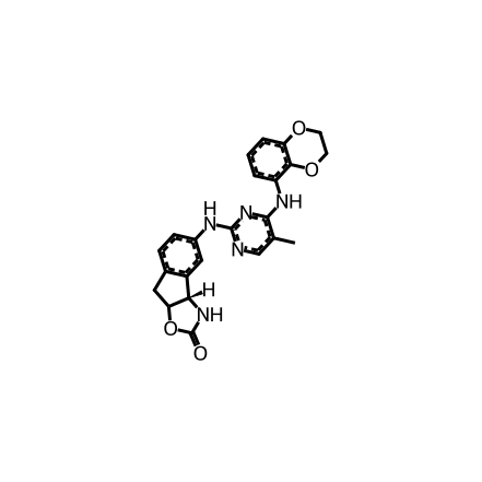 Cc1cnc(Nc2ccc3c(c2)[C@@H]2NC(=O)OC2C3)nc1Nc1cccc2c1OCCO2